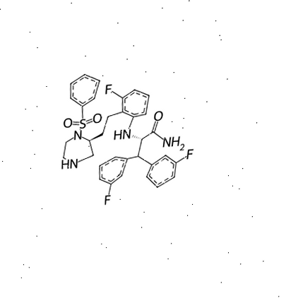 NC(=O)[C@@H](Nc1cccc(F)c1CC[C@H]1CNCCN1S(=O)(=O)c1ccccc1)C(c1cccc(F)c1)c1cccc(F)c1